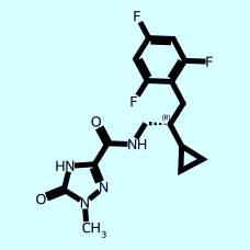 Cn1nc(C(=O)NC[C@H](Cc2c(F)cc(F)cc2F)C2CC2)[nH]c1=O